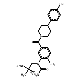 CC(=O)NC(C)(C)CN(C(N)=O)c1cc(C(=O)N2CCC(c3ccc(C#N)cc3)CC2)ccc1C